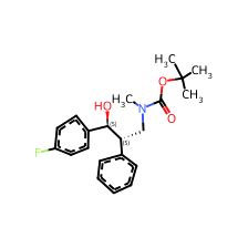 CN(C[C@H](c1ccccc1)[C@H](O)c1ccc(F)cc1)C(=O)OC(C)(C)C